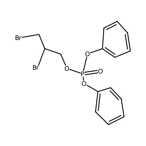 O=P(OCC(Br)CBr)(Oc1ccccc1)Oc1ccccc1